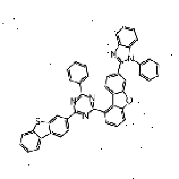 c1ccc(-c2nc(-c3ccc4c(c3)sc3ccccc34)nc(-c3cccc4oc5cc(-c6nc7ccccc7n6-c6ccccc6)ccc5c34)n2)cc1